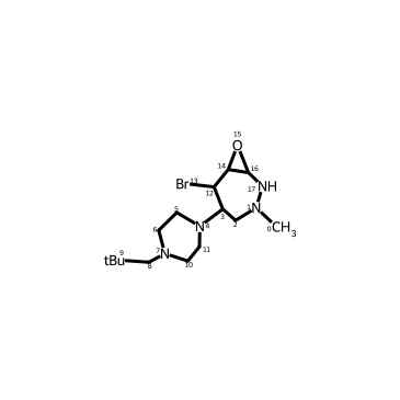 CN1CC(N2CCN(CC(C)(C)C)CC2)C(Br)C2OC2N1